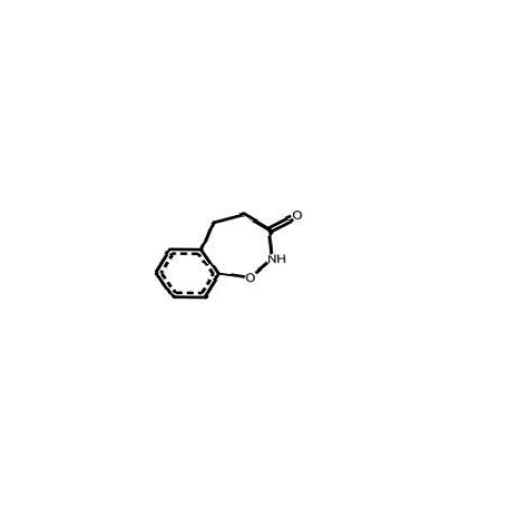 O=C1CCc2ccccc2ON1